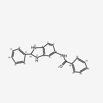 O=C(Nc1ccc2c(c1)NC(c1ccccc1)N2)c1ccccc1